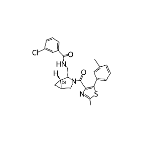 Cc1cccc(-c2sc(C)nc2C(=O)N2CC3C[C@@H]3C2CNC(=O)c2cccc(Cl)c2)c1